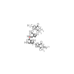 CC(C)N=C(NC(C)C)C(=O)[O-].CC(C)N=C(NC(C)C)C(=O)[O-].N=Cc1cc[nH]c1C(=O)O.N=Cc1cc[nH]c1C(=O)O.[Mn+2]